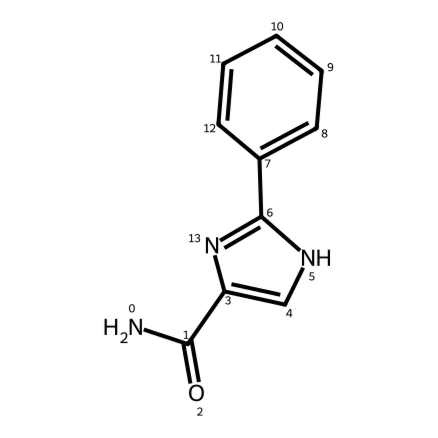 NC(=O)c1c[nH]c(-c2ccccc2)n1